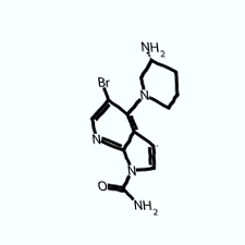 NC(=O)n1c[c]c2c(N3CCC[C@@H](N)C3)c(Br)cnc21